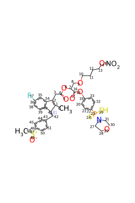 CC1=C(CC(=O)OC(COCCCCO[N+](=O)[O-])C(=O)Oc2ccc(P(=S)(S)N3CCOCC3)cc2)c2cc(F)ccc2/C1=C\c1ccc([S+](C)[O-])cc1